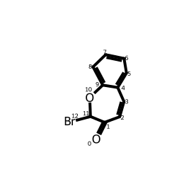 O=C1C=Cc2ccccc2OC1Br